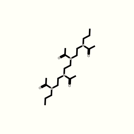 CCCN(CCN(CCN(CCN(CCC)C(C)=O)C(C)=O)C(C)=O)C(C)=O